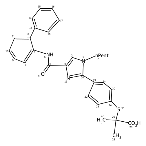 CCCCCn1cc(C(=O)Nc2ccccc2-c2ccccc2)nc1-c1ccc(SC(C)(C)C(=O)O)cc1